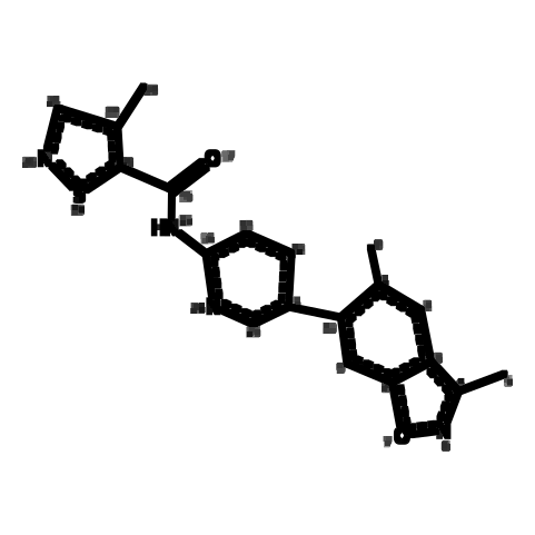 Cc1cc2c(C)noc2cc1-c1ccc(NC(=O)c2sncc2C)nc1